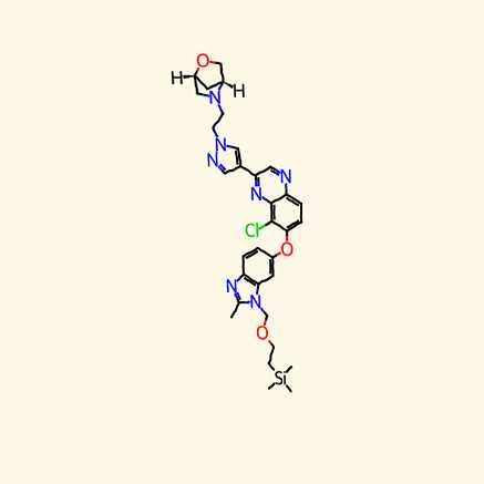 Cc1nc2ccc(Oc3ccc4ncc(-c5cnn(CCN6C[C@H]7C[C@@H]6CO7)c5)nc4c3Cl)cc2n1COCC[Si](C)(C)C